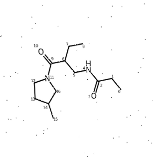 CCC(=O)NCC(CC)C(=O)N1CCC(C)C1